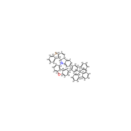 C1=CC2c3ccccc3N(c3cccc4oc5ccc(-c6ccc7c(c6)C6(c8ccccc8-c8ccccc86)c6ccccc6-7)cc5c34)C2c2c1sc1ccccc21